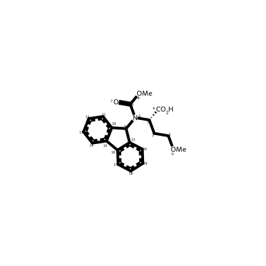 COCC[C@@H](C(=O)O)N(C(=O)OC)C1c2ccccc2-c2ccccc21